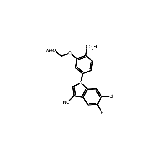 CCOC(=O)c1ccc(-n2cc(C#N)c3cc(F)c(Cl)cc32)cc1OCOC